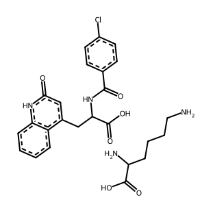 NCCCCC(N)C(=O)O.O=C(NC(Cc1cc(=O)[nH]c2ccccc12)C(=O)O)c1ccc(Cl)cc1